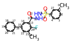 Cc1cccc(S(=O)(=O)NNC(=O)c2cc(-c3ccccc3)cc(C)c2F)c1